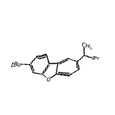 CC(C)C(C)c1ccc2oc3cc(C(C)(C)C)ccc3c2c1